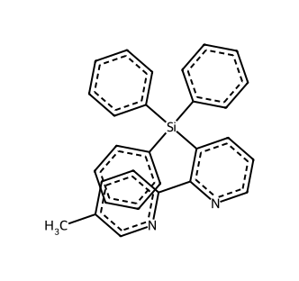 Cc1ccc(-c2ncccc2[Si](c2ccccc2)(c2ccccc2)c2ccccc2)nc1